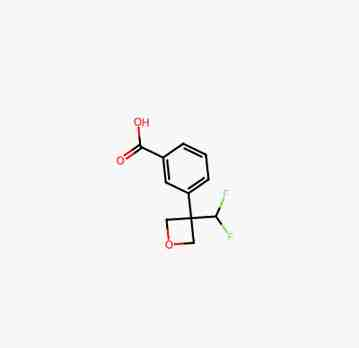 O=C(O)c1cccc(C2(C(F)F)COC2)c1